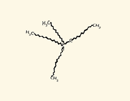 CCCCCCCCCCCCCCCCC[PH](CCCCCCCCCCCCCC)(CCCCCCCCCCCCCCCCC)CCCCCCCCCCCCCCCCC